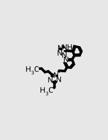 CCCCc1nc(CC)nn1CCc1ccc(-c2ccccc2-c2nnn[nH]2)nc1